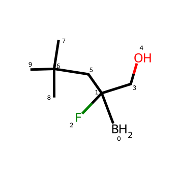 BC(F)(CO)CC(C)(C)C